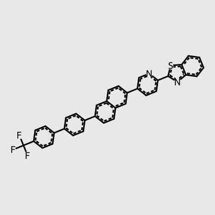 FC(F)(F)c1ccc(-c2ccc(-c3ccc4cc(-c5ccc(-c6nc7ccccc7s6)nc5)ccc4c3)cc2)cc1